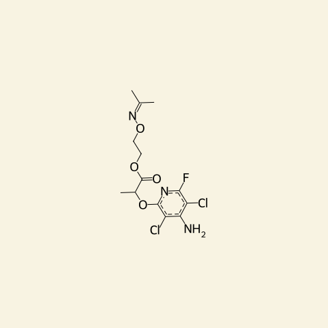 CC(C)=NOCCOC(=O)C(C)Oc1nc(F)c(Cl)c(N)c1Cl